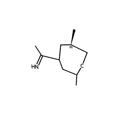 CC(=N)C1CC(C)CC[C@H](C)C1